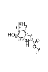 CCOC(=O)c1cc2cc(ON)c(O)cc2[nH]1